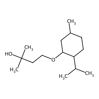 CC1CCC(C(C)C)C(OCCC(C)(C)O)C1